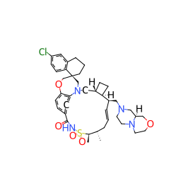 C[C@@H]1[C@@H](C)C/C=C/[C@H](CN2CCN3CCOC[C@@H]3C2)[C@@H]2CC[C@H]2CN2C[C@@]3(CCCc4cc(Cl)ccc43)COc3ccc(cc32)C(=O)NS1(=O)=O